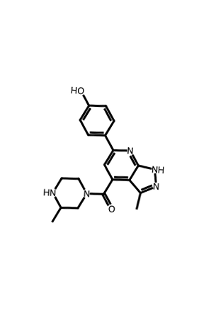 Cc1n[nH]c2nc(-c3ccc(O)cc3)cc(C(=O)N3CCNC(C)C3)c12